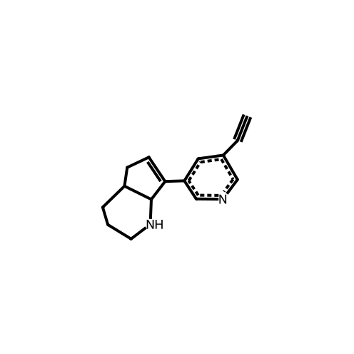 C#Cc1cncc(C2=CCC3CCCNC23)c1